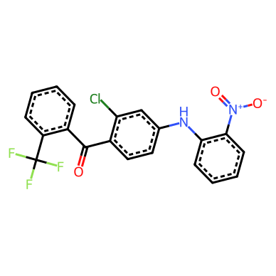 O=C(c1ccc(Nc2ccccc2[N+](=O)[O-])cc1Cl)c1ccccc1C(F)(F)F